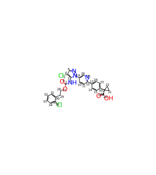 O=C(Nc1c(Cl)cnn1-c1ccc(-c2ccc(C3(C(=O)O)CC3)cc2)nc1)OCCc1ccccc1Cl